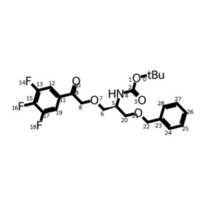 CC(C)(C)OC(=O)N[C@H](COCC(=O)c1cc(F)c(F)c(F)c1)COCc1ccccc1